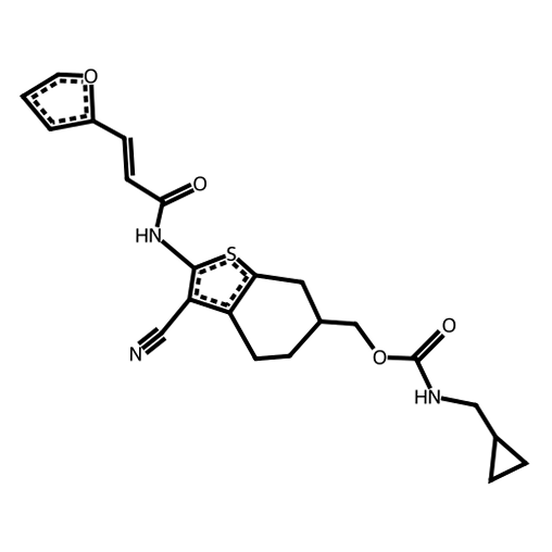 N#Cc1c(NC(=O)C=Cc2ccco2)sc2c1CCC(COC(=O)NCC1CC1)C2